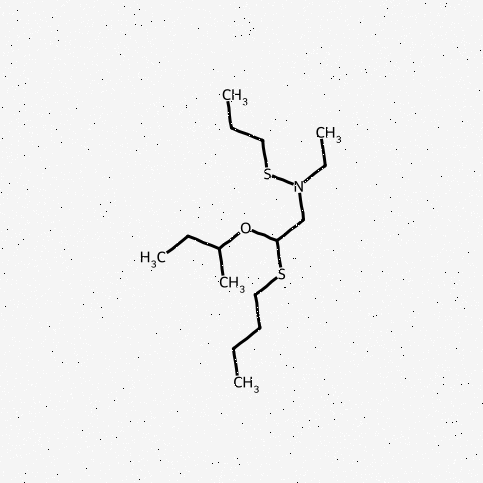 CCCCSC(CN(CC)SCCC)OC(C)CC